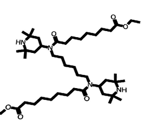 CCOC(=O)CCCCCCCC(=O)N(CCCCCCN(C(=O)CCCCCCCC(=O)OCC)C1CC(C)(C)NC(C)(C)C1)C1CC(C)(C)NC(C)(C)C1